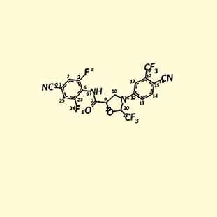 N#Cc1cc(F)c(NC(=O)C2CN(c3ccc(C#N)c(C(F)(F)F)c3)C(C(F)(F)F)O2)c(F)c1